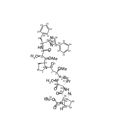 CC[C@H](C)[C@@H]([C@@H](CC(=O)N1CCC[C@H]1[C@H](OC)[C@@H](C)C(=O)N[C@@H](Cc1ccccc1)c1ncc(-c2ccccc2)[nH]1)OC)N(C)C(=O)[C@@H](NC(=O)[C@@H]1[C@H]2CC[C@H](C2)N1C(=O)OC(C)(C)C)C(C)C